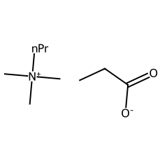 CCC(=O)[O-].CCC[N+](C)(C)C